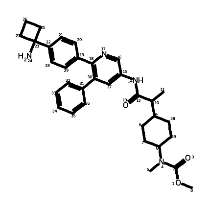 COC(=O)N(C)C1CCC(C(C)C(=O)Nc2cnc(-c3ccc(C4(N)CCC4)cc3)c(-c3ccccc3)c2)CC1